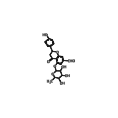 CC1OC(Oc2cc(C=O)cc3c2C(=O)CC(c2ccc(O)cc2)O3)C(O)C(O)C1O